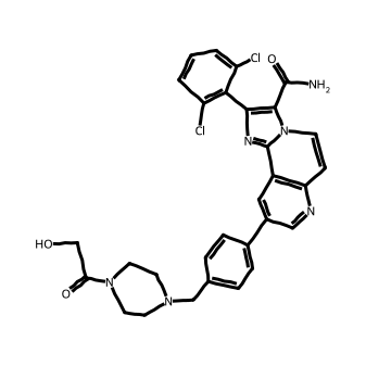 NC(=O)c1c(-c2c(Cl)cccc2Cl)nc2c3cc(-c4ccc(CN5CCN(C(=O)CO)CC5)cc4)cnc3ccn12